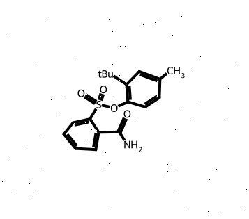 Cc1ccc(OS(=O)(=O)c2ccccc2C(N)=O)c(C(C)(C)C)c1